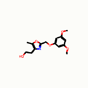 COc1cc(OC)cc(OCc2nc(CCO)c(C)o2)c1